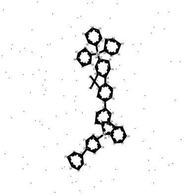 CC1(C)c2cc(-c3ccc4c(c3)c3ccccc3n4-c3ccc(-c4ccccc4)cc3)ccc2-c2ccc([Si](c3ccccc3)(c3ccccc3)c3ccccc3)cc21